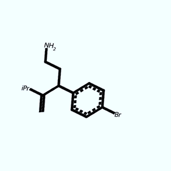 C=C(C(C)C)C(CCN)c1ccc(Br)cc1